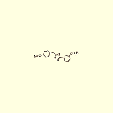 COc1ccc(Cc2nc(-c3cccc(C(=O)O)c3)no2)cc1